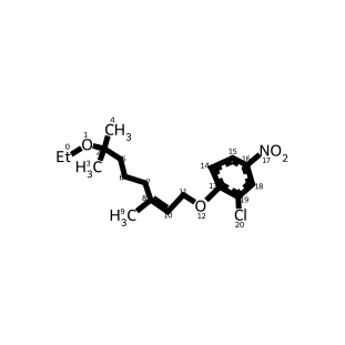 CCOC(C)(C)CCCC(C)=CCOc1ccc([N+](=O)[O-])cc1Cl